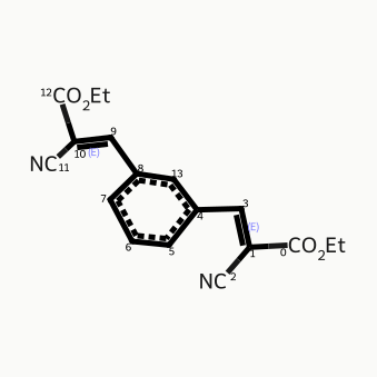 CCOC(=O)/C(C#N)=C/c1cccc(/C=C(\C#N)C(=O)OCC)c1